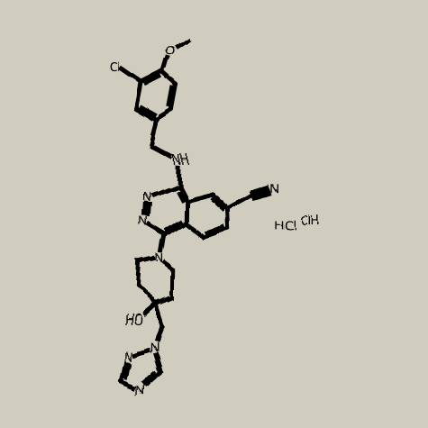 COc1ccc(CNc2nnc(N3CCC(O)(Cn4cncn4)CC3)c3ccc(C#N)cc23)cc1Cl.Cl.Cl